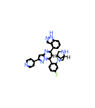 Fc1ccc(-c2cc(-c3cccc4[nH]ncc34)nc3cc(-c4ccncc4)nn23)c(N2C[C@@H]3C[C@H]2CN3)c1